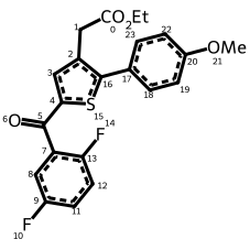 CCOC(=O)Cc1cc(C(=O)c2cc(F)ccc2F)sc1-c1ccc(OC)cc1